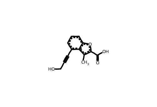 Cc1c(C(=O)O)oc2cccc(C#CCO)c12